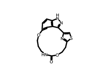 O=C1NCCCOc2ccc3[nH]nc(c3c2)-c2csc(n2)CCO1